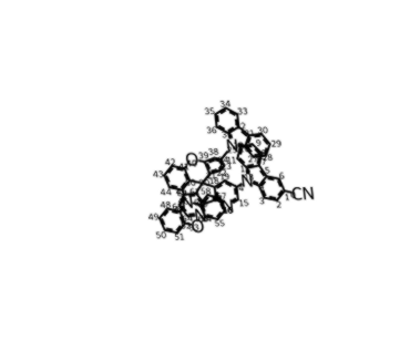 N#Cc1ccc2c(c1)c1ccccc1n2-c1cnc2c(c1)C1(c3ccc(-n4c5ccccc5c5ccccc54)cc3Oc3cccc(N4c5ccccc5Oc5ccccc54)c31)c1cccnc1-2